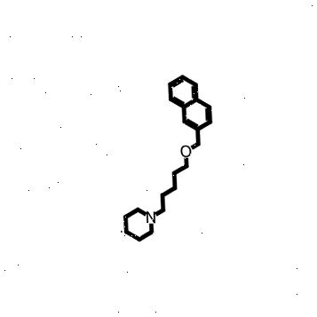 [CH]1CCN(CCCCCOCc2ccc3ccccc3c2)CC1